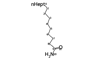 CCCCCCCCCCCCCC[CH]C(N)=O